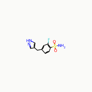 NS(=O)(=O)c1ccc(Cc2cn[nH]c2)cc1F